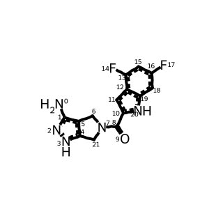 Nc1n[nH]c2c1CN(C(=O)c1cc3c(F)cc(F)cc3[nH]1)C2